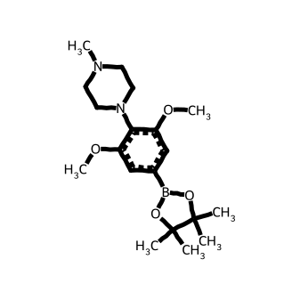 COc1cc(B2OC(C)(C)C(C)(C)O2)cc(OC)c1N1CCN(C)CC1